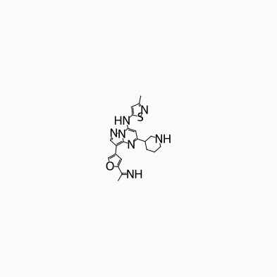 CC(=N)c1cc(-c2cnn3c(Nc4cc(C)ns4)cc(C4CCCNC4)nc23)co1